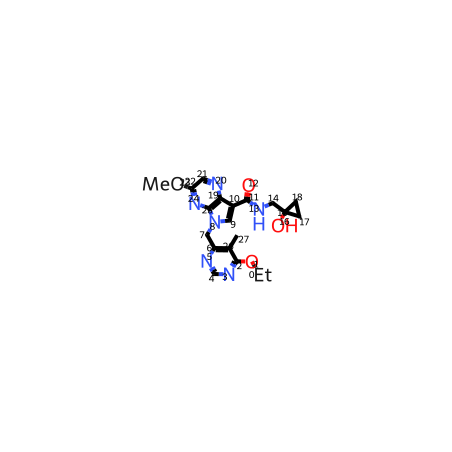 CCOc1ncnc(Cn2cc(C(=O)NCC3(O)CC3)c3ncc(OC)nc32)c1C